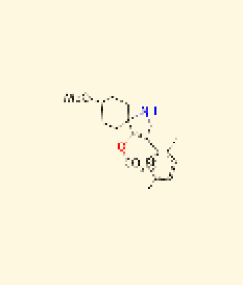 CCOC(=O)OC1=C(c2cc(C)ccc2C)CNC12CCC(OC)CC2